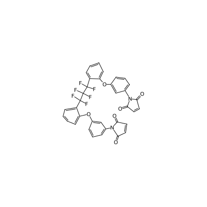 O=C1C=CC(=O)N1c1cccc(Oc2ccccc2C(F)(F)C(F)(F)C(F)(F)c2ccccc2Oc2cccc(N3C(=O)C=CC3=O)c2)c1